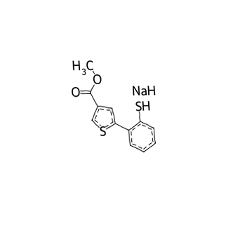 COC(=O)c1csc(-c2ccccc2S)c1.[NaH]